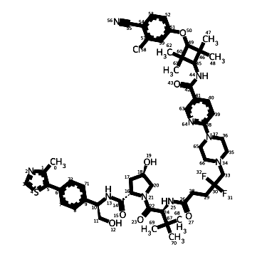 Cc1ncsc1-c1ccc([C@H](CO)NC(=O)[C@@H]2C[C@@H](O)CN2C(=O)[C@@H](NC(=O)CCC(F)(F)CN2CCN(c3ccc(C(=O)NC4C(C)(C)C(Oc5ccc(C#N)c(Cl)c5)C4(C)C)cn3)CC2)C(C)(C)C)cc1